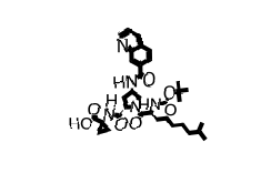 CC(C)CCCCC[C@H](NC(=O)OC(C)(C)C)C(=O)N1C[C@H](NC(=O)c2ccc3cccnc3c2)C[C@H]1C(=O)NC1(C(=O)O)CC1